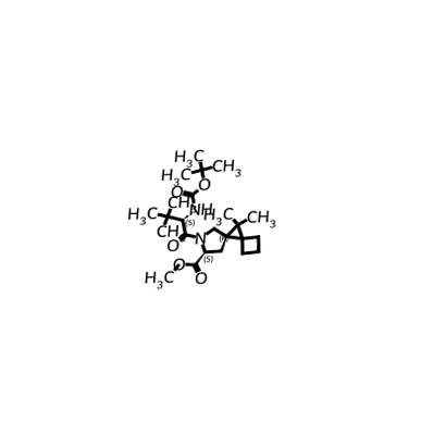 COC(=O)[C@@H]1C[C@@]2(CN1C(=O)[C@@H](NC(=O)OC(C)(C)C)C(C)(C)C)C(C)(C)C21CCC1